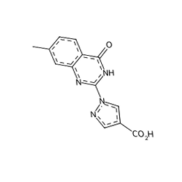 Cc1ccc2c(=O)[nH]c(-n3cc(C(=O)O)cn3)nc2c1